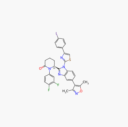 Cc1noc(C)c1-c1ccc2c(c1)nc([C@@H]1CCCC(=O)N1c1ccc(F)c(F)c1)n2-c1nc(-c2ccc(I)cc2)cs1